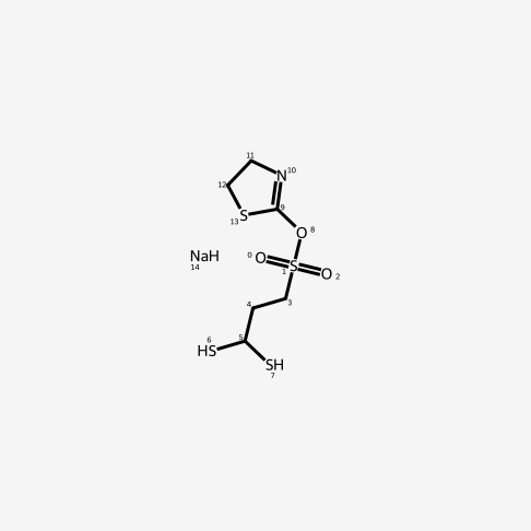 O=S(=O)(CCC(S)S)OC1=NCCS1.[NaH]